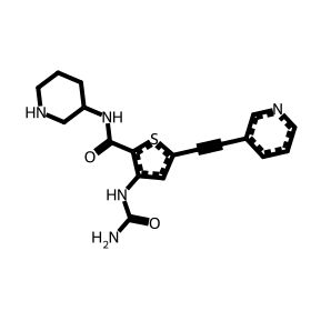 NC(=O)Nc1cc(C#Cc2cccnc2)sc1C(=O)NC1CCCNC1